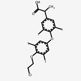 CC(C(=O)O)c1cc(I)c(Oc2cc(I)c(OCCCl)c(I)c2)c(I)c1